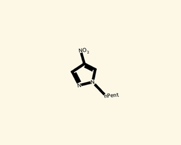 CCCCCn1cc([N+](=O)[O-])cn1